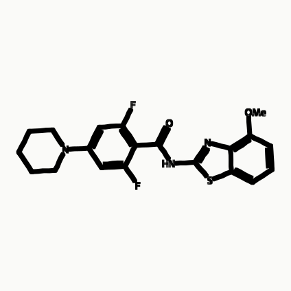 COc1cccc2sc(NC(=O)c3c(F)cc(N4CCCCC4)cc3F)nc12